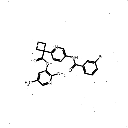 Nc1ncc(C(F)(F)F)cc1NC(=O)C1(c2ccc(NC(=O)c3cccc(Br)c3)cn2)CCC1